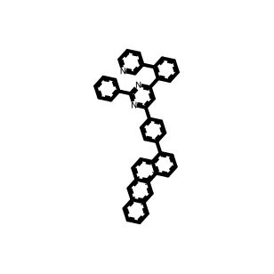 c1ccc(-c2nc(-c3ccc(-c4cccc5c4ccc4cc6ccccc6cc45)cc3)cc(-c3ccccc3-c3cccnc3)n2)cc1